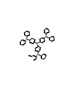 C=C/C=C(\C=C)N(C1=CCCC=C1)c1ccc(N(C2=CCC(N(c3ccccc3)c3ccccc3)C=C2)c2ccc(N(c3ccccc3)c3ccccc3)cc2)cc1